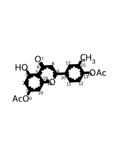 CC(=O)Oc1cc(O)c2c(=O)cc(-c3ccc(OC(C)=O)c(C)c3)oc2c1